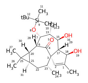 CC1=C[C@]23C(=O)[C@@H]([C@H](O[Si](C)(C)C(C)(C)C)[C@H](C)[C@@H](O)[C@@H]2[C@H]1O)[C@@H]1[C@@H](C[C@H]3C)C1(C)C